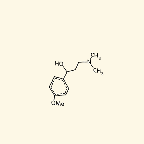 COc1ccc(C(O)CCN(C)C)cc1